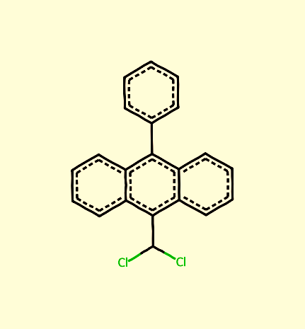 ClC(Cl)c1c2ccccc2c(-c2ccccc2)c2ccccc12